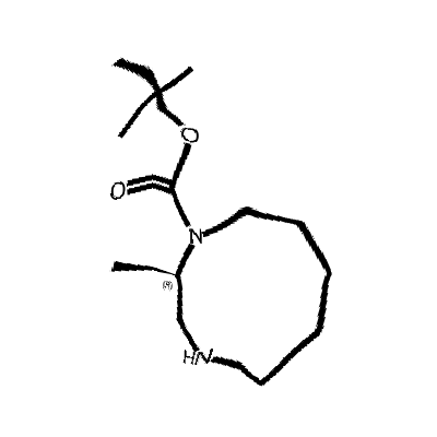 C[C@@H]1CNCCCCCN1C(=O)OC(C)(C)C